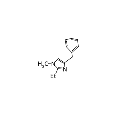 CCc1nc(Cc2ccccc2)cn1C